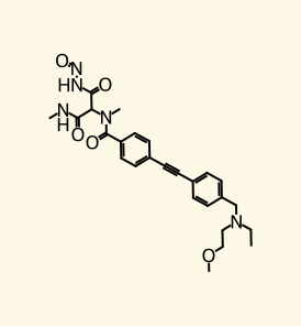 CCN(CCOC)Cc1ccc(C#Cc2ccc(C(=O)N(C)C(C(=O)NC)C(=O)NN=O)cc2)cc1